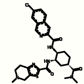 CN1CCc2nc(C(=O)N[C@H]3C[C@@H](C(=O)N(C)C)CC[C@@H]3NC(=O)c3cc4ccc(Cl)cc4cn3)sc2C1